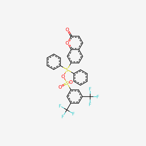 O=c1ccc2ccc(S(OS(=O)(=O)c3cc(C(F)(F)F)cc(C(F)(F)F)c3)(c3ccccc3)c3ccccc3)cc2o1